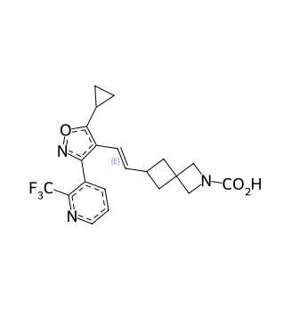 O=C(O)N1CC2(CC(/C=C/c3c(-c4cccnc4C(F)(F)F)noc3C3CC3)C2)C1